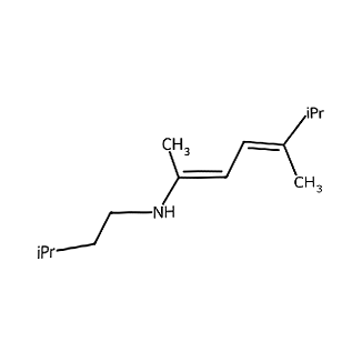 C/C(=C\C=C(/C)C(C)C)NCCC(C)C